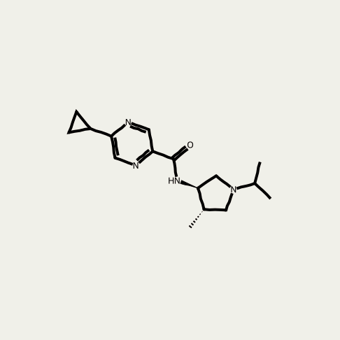 CC(C)N1C[C@H](NC(=O)c2cnc(C3CC3)cn2)[C@@H](C)C1